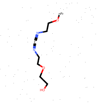 CCCOCCN=C=NCCOCCO